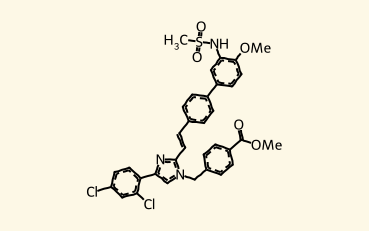 COC(=O)c1ccc(Cn2cc(-c3ccc(Cl)cc3Cl)nc2C=Cc2ccc(-c3ccc(OC)c(NS(C)(=O)=O)c3)cc2)cc1